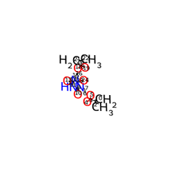 C=C(C)C(=O)OCCn1c(=O)[nH]c(=O)n(CCOC(=O)C(=C)C)c1=O